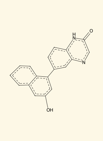 O=c1cnc2cc(-c3cc(O)cc4ccccc34)ccc2[nH]1